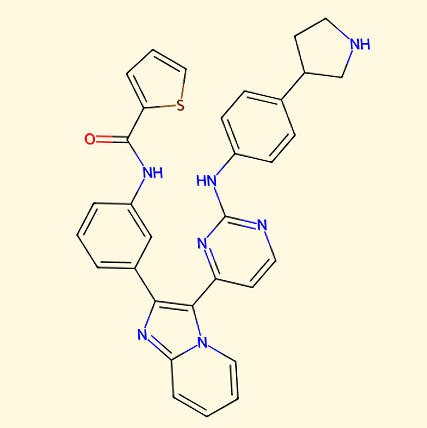 O=C(Nc1cccc(-c2nc3ccccn3c2-c2ccnc(Nc3ccc(C4CCNC4)cc3)n2)c1)c1cccs1